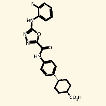 O=C(Nc1ccc([C@H]2CC[C@H](C(=O)O)CC2)cc1)c1nnc(Nc2ccccc2F)o1